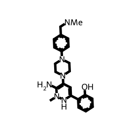 CNCc1ccc(N2CCN(C3=C(N)N(C)NC(c4ccccc4O)=C3)CC2)cc1